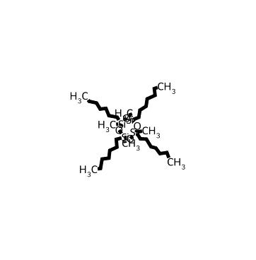 CCCCCCC[Si]1(C)O[Si](C)(CCCCCCC)O[Si](C)(CCCCCCC)O[Si](C)(CCCCCCC)O1